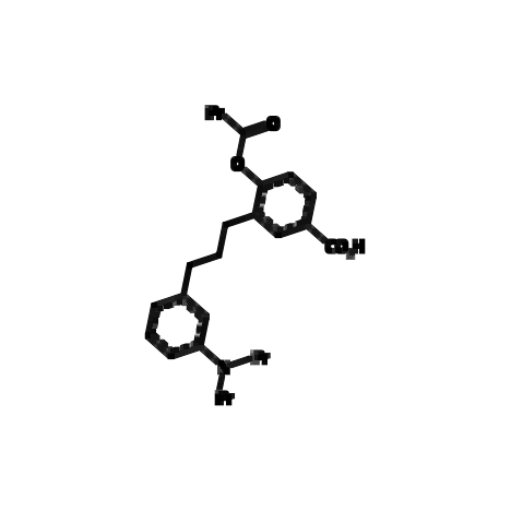 CC(C)C(=O)Oc1ccc(C(=O)O)cc1CCCc1cccc(N(C(C)C)C(C)C)c1